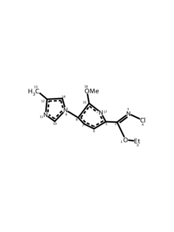 CCO/C(=N\Cl)c1ccc(-n2cnc(C)c2)c(OC)n1